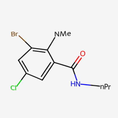 CCCNC(=O)c1cc(Cl)cc(Br)c1NC